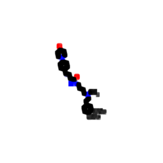 COc1ccc(CCN(C)CCCCNC(=O)C/C=C/c2ccc(-n3ccc(=O)cc3)cc2)cc1OC